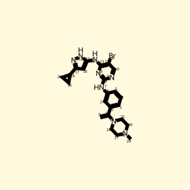 C=C(c1cccc(Nc2ncc(Br)c(Nc3cc(C4CC4)n[nH]3)n2)c1)N1CCN(C)CC1